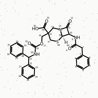 O=C(Cc1ccccc1)NC1C(=O)N2CC(COC(=O)NC(c3ccccc3)c3ccccc3)(C(=O)O)CS[C@H]12